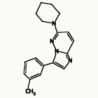 Cc1cccc(-c2cnc3ccc(N4CCCCC4)nn23)c1